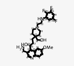 COc1ccc2ncc(CN)c([C@H](O)CCC3(CO)CCN(CCNc4cc(F)cc(F)c4F)CC3)c2c1